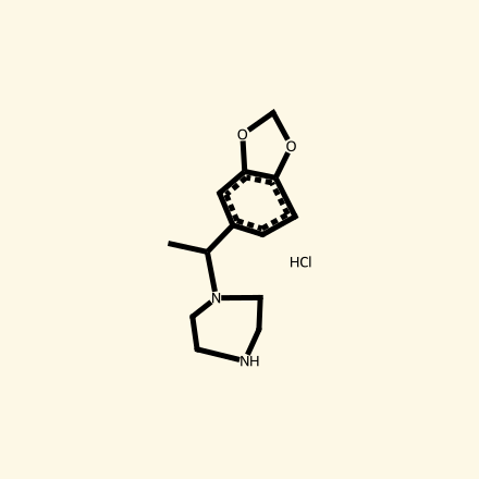 CC(c1ccc2c(c1)OCO2)N1CCNCC1.Cl